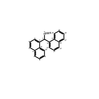 CCCCCC[C](c1cccc2ccccc12)c1cccc2ccccc12